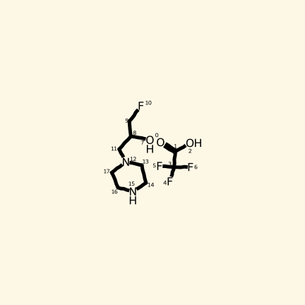 O=C(O)C(F)(F)F.OC(CF)CN1CCNCC1